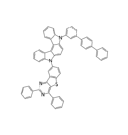 c1ccc(-c2ccc(-c3cccc(-n4c5ccccc5c5c6c7ccccc7n(-c7ccc8sc9c(-c%10ccccc%10)nc(-c%10ccccc%10)nc9c8c7)c6ccc54)c3)cc2)cc1